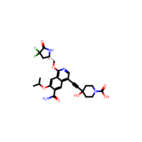 CC(C)Oc1cc2c(OC[C@@H]3CC(F)(F)C(=O)N3)ncc(C#CC3(O)CCN(C(=O)O)CC3)c2cc1C(N)=O